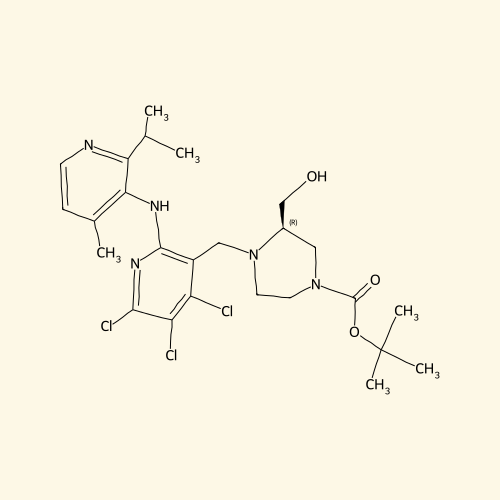 Cc1ccnc(C(C)C)c1Nc1nc(Cl)c(Cl)c(Cl)c1CN1CCN(C(=O)OC(C)(C)C)C[C@@H]1CO